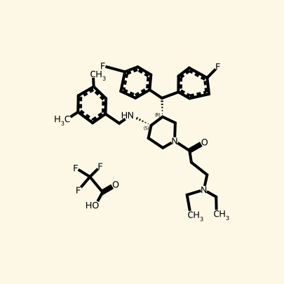 CCN(CC)CCC(=O)N1CC[C@H](NCc2cc(C)cc(C)c2)[C@H](C(c2ccc(F)cc2)c2ccc(F)cc2)C1.O=C(O)C(F)(F)F